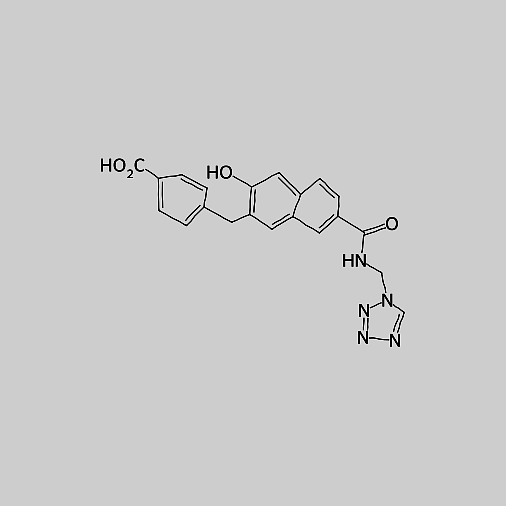 O=C(O)c1ccc(Cc2cc3cc(C(=O)NCn4cnnn4)ccc3cc2O)cc1